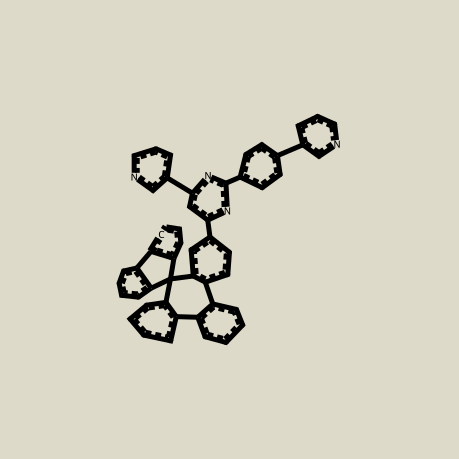 c1cncc(-c2ccc(-c3nc(-c4cccnc4)cc(-c4ccc5c(c4)C4(c6ccccc6-c6ccccc6-5)c5ccccc5-c5ccccc54)n3)cc2)c1